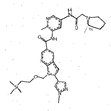 Cc1ncc(NC(=O)CN2CCC[C@@H]2C)cc1NC(=O)c1cnc2c(c1)cc(-c1cnn(C)c1)n2COCC[Si](C)(C)C